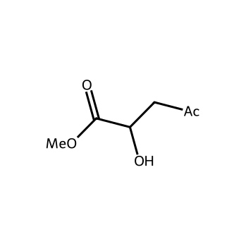 COC(=O)C(O)CC(C)=O